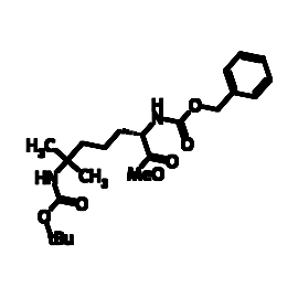 COC(=O)[C@H](CCCC(C)(C)NC(=O)OC(C)(C)C)NC(=O)OCc1ccccc1